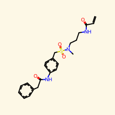 C=CC(=O)NCCCN(C)S(=O)(=O)Cc1ccc(NC(=O)Cc2ccccc2)cc1